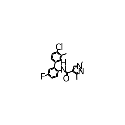 Cc1cc(-c2cc(F)ccc2NC(=O)c2cn(C)nc2C)ccc1Cl